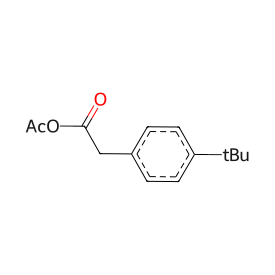 CC(=O)OC(=O)Cc1ccc(C(C)(C)C)cc1